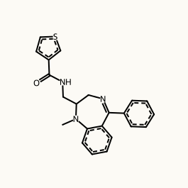 CN1c2ccccc2C(c2ccccc2)=NCC1CNC(=O)c1ccsc1